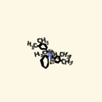 CCC(C)(c1ccc(C)c(C)c1)N(c1ccccc1)C(C)(CC)c1ccc(C)c(C)c1